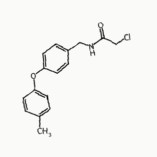 Cc1ccc(Oc2ccc(CNC(=O)CCl)cc2)cc1